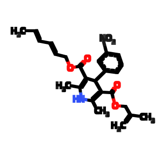 C=C(C)COC(=O)C1=C(C)NC(C)=C(C(=O)OC/C=C/C=C/C)C1c1cccc([N+](=O)[O-])c1